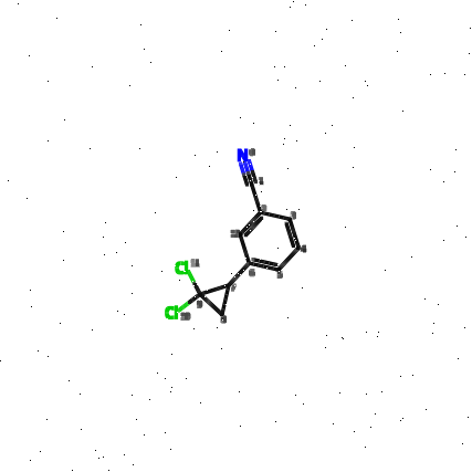 N#Cc1cccc(C2CC2(Cl)Cl)c1